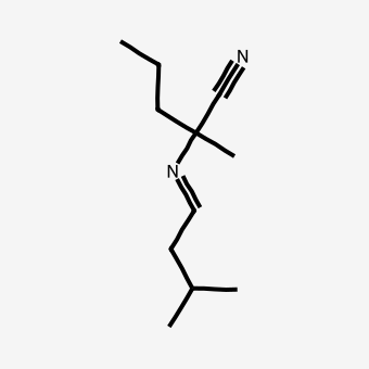 CCCC(C)(C#N)N=CCC(C)C